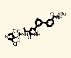 CCCCNC(=O)c1cccc(-c2cccc(-c3cc(C(C)NC(=O)Nc4c(Cl)cncc4Cl)c(=O)[nH]n3)c2)c1